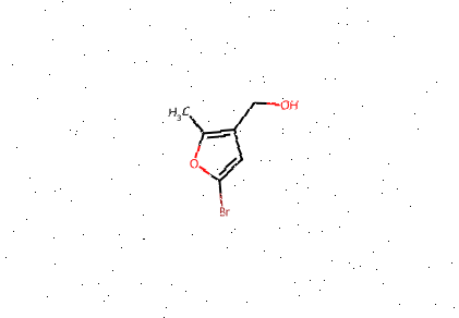 Cc1oc(Br)cc1CO